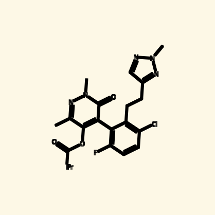 Cc1nn(C)c(=O)c(-c2c(F)ccc(Cl)c2CCc2cnn(C)n2)c1OC(=O)C(C)C